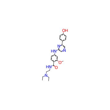 CCN(CC)CCNC(=O)c1ccc(Nc2cncc(-c3ccc(O)cc3)n2)cc1OC